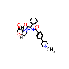 CN1CCC(c2ccc(C(=O)NC(C(=O)N3CC[C@H]4OCC(=O)[C@H]43)C3CCCCC3)cc2)CC1